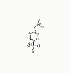 CN(C)Cc1ccc(S(=O)(=O)Cl)nc1